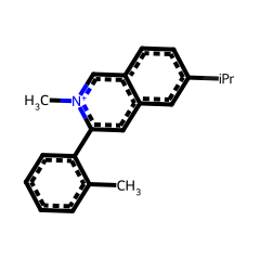 Cc1ccccc1-c1cc2cc(C(C)C)ccc2c[n+]1C